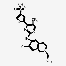 CS(=O)(=O)c1csc(-c2nc(Nc3cc4c(cc3Cl)CN(CC(F)(F)F)CC4)ncc2C(F)(F)F)c1